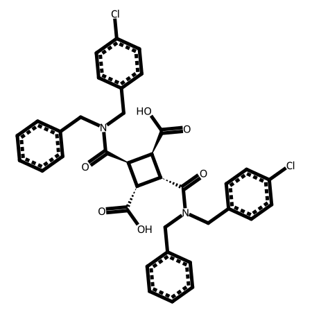 O=C(O)[C@H]1[C@H](C(=O)N(Cc2ccccc2)Cc2ccc(Cl)cc2)[C@H](C(=O)O)[C@H]1C(=O)N(Cc1ccccc1)Cc1ccc(Cl)cc1